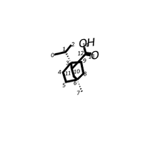 CC(C)[C@]12CC[C@](C)(CC1)CC2C(=O)O